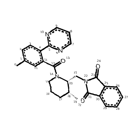 Cc1ccc(-c2ncccn2)c(C(=O)N2CCC[C@@H](C)[C@H]2CN2C(=O)c3ccccc3C2=O)c1